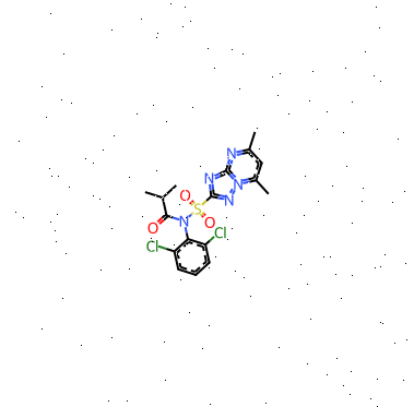 Cc1cc(C)n2nc(S(=O)(=O)N(C(=O)C(C)C)c3c(Cl)cccc3Cl)nc2n1